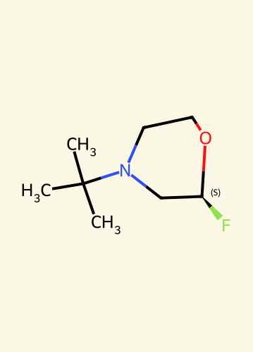 CC(C)(C)N1CCO[C@@H](F)C1